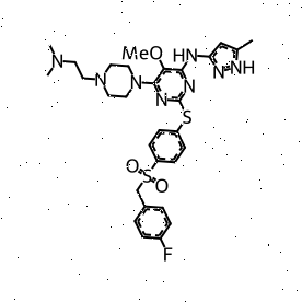 COc1c(Nc2cc(C)[nH]n2)nc(Sc2ccc(S(=O)(=O)Cc3ccc(F)cc3)cc2)nc1N1CCN(CCN(C)C)CC1